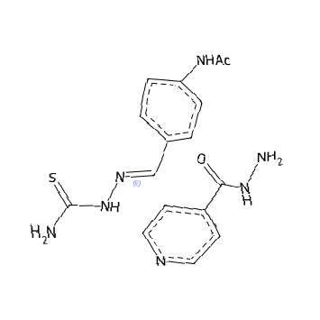 CC(=O)Nc1ccc(/C=N/NC(N)=S)cc1.NNC(=O)c1ccncc1